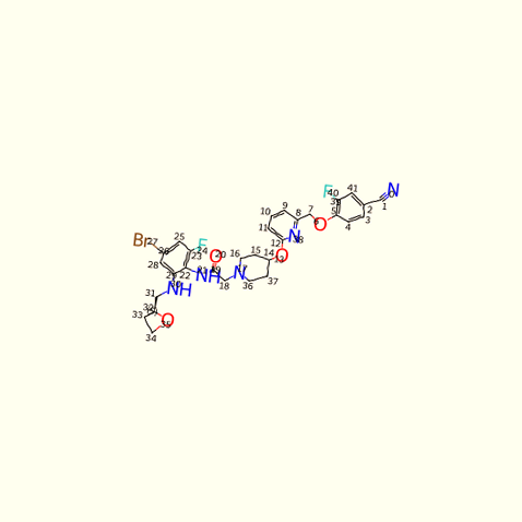 N#Cc1ccc(OCc2cccc(OC3CCN(CC(=O)Nc4c(F)cc(Br)cc4NC[C@@H]4CCO4)CC3)n2)c(F)c1